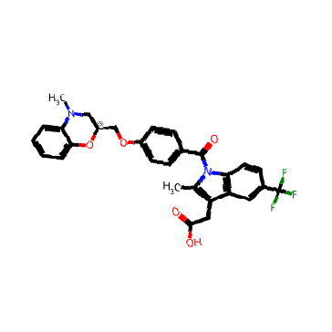 Cc1c(CC(=O)O)c2cc(C(F)(F)F)ccc2n1C(=O)c1ccc(OC[C@@H]2CN(C)c3ccccc3O2)cc1